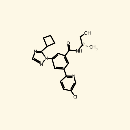 C[C@@H](CO)NC(=O)c1cc(-c2ccc(Cl)cn2)cc(-n2ncnc2C2CCC2)c1